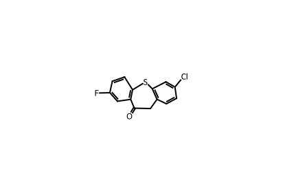 O=C1Cc2ccc(Cl)cc2Sc2ccc(F)cc21